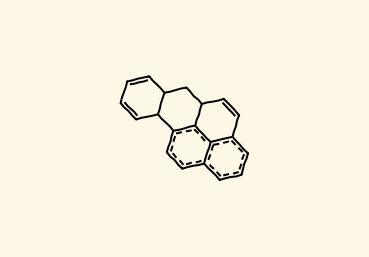 C1=CC2CC3C=Cc4cccc5ccc(c3c45)C2C=C1